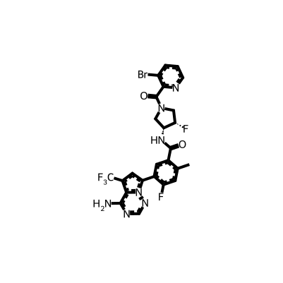 Cc1cc(F)c(-c2cc(C(F)(F)F)c3c(N)ncnn23)cc1C(=O)N[C@@H]1CN(C(=O)c2ncccc2Br)C[C@@H]1F